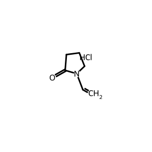 C=CN1CCCC1=O.Cl